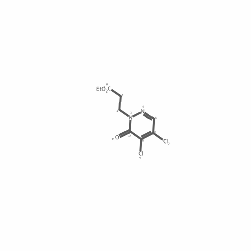 CCOC(=O)CCn1ncc(Cl)c(Cl)c1=O